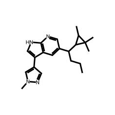 CCCC(c1cnc2[nH]cc(-c3cnn(C)c3)c2c1)C1C(C)C1(C)C